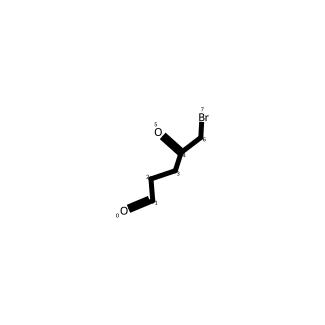 O=[C]CCC(=O)CBr